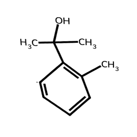 Cc1ccc[c]c1C(C)(C)O